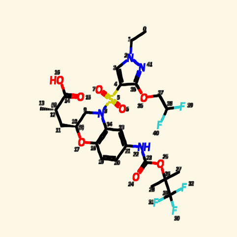 CCn1cc(S(=O)(=O)N2C[C@H](C[C@H](C)C(=O)O)Oc3ccc(NC(=O)OC(C)(C)C(F)(F)F)cc32)c(OCC(F)F)n1